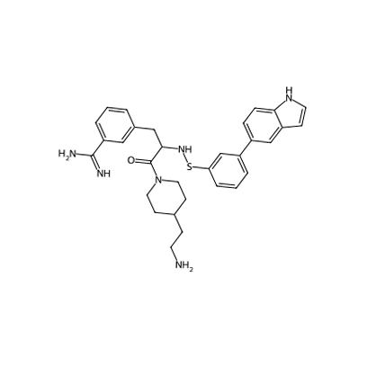 N=C(N)c1cccc(CC(NSc2cccc(-c3ccc4[nH]ccc4c3)c2)C(=O)N2CCC(CCN)CC2)c1